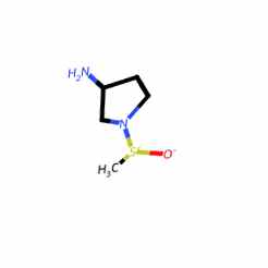 C[S+]([O-])N1CCC(N)C1